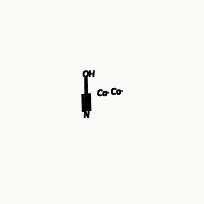 N#CO.[Co].[Co]